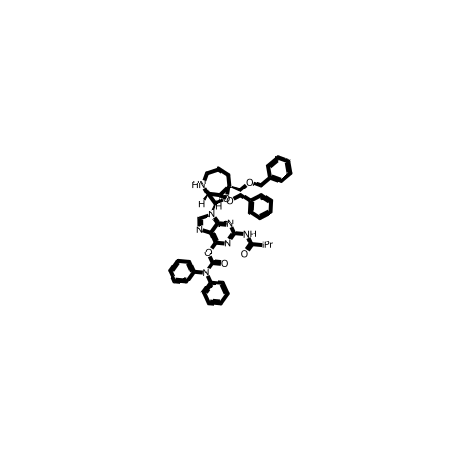 CC(C)C(=O)Nc1nc(OC(=O)N(c2ccccc2)c2ccccc2)c2ncn([C@@H]3O[C@@]4(COCc5ccccc5)CCCN[C@@H]3[C@@H]4OCc3ccccc3)c2n1